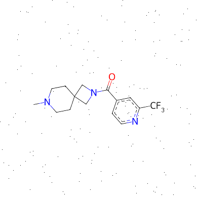 CN1CCC2(CC1)CN(C(=O)c1ccnc(C(F)(F)F)c1)C2